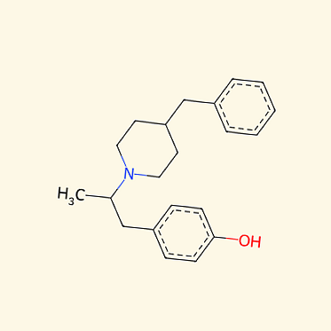 CC(Cc1ccc(O)cc1)N1CCC(Cc2ccccc2)CC1